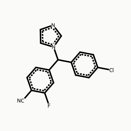 N#Cc1ccc(C(c2ccc(Cl)cc2)n2ccnc2)cc1F